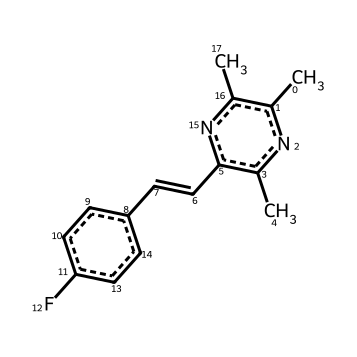 Cc1nc(C)c(C=Cc2ccc(F)cc2)nc1C